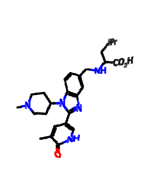 Cc1cc(-c2nc3cc(CNC(CC(C)C)C(=O)O)ccc3n2C2CCN(C)CC2)c[nH]c1=O